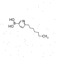 CCCCCCCc1ccc(B(O)O)cn1